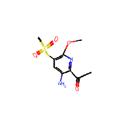 COc1nc(C(C)=O)c(N)cc1S(C)(=O)=O